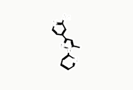 CC(=O)c1cc(-c2cc(C)n(-c3ccccn3)n2)ccn1